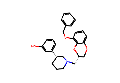 Oc1cccc([C@H]2CCCN(C[C@H]3COc4cccc(OCc5ccccc5)c4O3)C2)c1